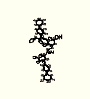 O=C(O)CN(CCNC(=O)CN(C(=O)CCl)c1ccc(C2CCCCC2)cc1)C(=O)CN(C(=O)CCl)c1ccc(C2CCCCC2)cc1